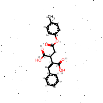 Cc1ccc(OC(=O)CC(C(=O)O)C(=Cc2ccccc2)C(=O)O)cc1